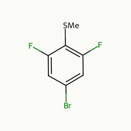 CSc1c(F)cc(Br)cc1F